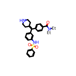 CCN(CC)C(=O)c1ccc(C(=C2CCNCC2)c2cccc(NS(=O)(=O)c3ccccc3)c2)cc1